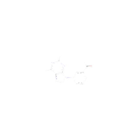 CC(C)(C)OC(=O)c1cccc(-n2cnc3c(Cl)nc(Cl)nc32)c1